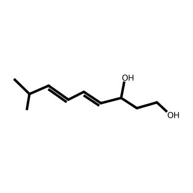 CC(C)C=CC=CC(O)CCO